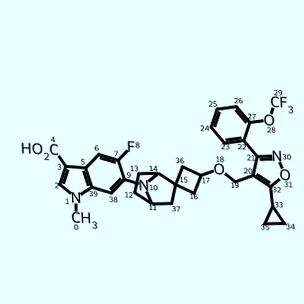 Cn1cc(C(=O)O)c2cc(F)c(N3C4CCC3C3(CC(OCc5c(-c6ccccc6OC(F)(F)F)noc5C5CC5)C3)C4)cc21